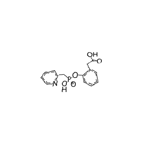 O=C(O)Cc1ccccc1OP(=O)(O)Cc1ccccn1